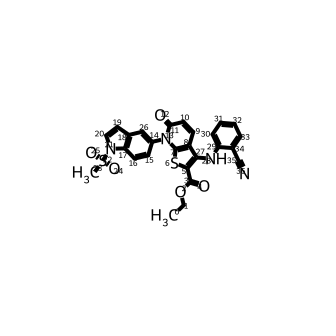 CCOC(=O)c1sc2c(ccc(=O)n2-c2ccc3c(ccn3S(C)(=O)=O)c2)c1Nc1ccccc1C#N